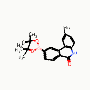 CCCCCCc1ccc2[nH]c(=O)c3ccc(B4OC(C)(C)C(C)(C)O4)cc3c2c1